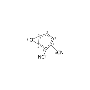 N#Cc1ccc2c(c1C#N)O2